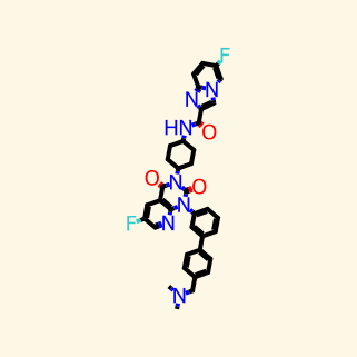 CN(C)Cc1ccc(-c2cccc(-n3c(=O)n(C4CCC(NC(=O)c5cn6cc(F)ccc6n5)CC4)c(=O)c4cc(F)cnc43)c2)cc1